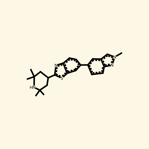 Cn1cc2cc(-c3ccc4nc(C5CC(C)(C)NC(C)(C)C5)sc4c3)ccc2n1